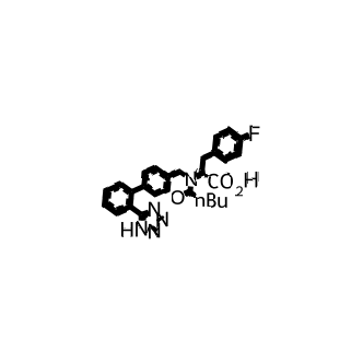 CCCCC(=O)N(Cc1ccc(-c2ccccc2-c2nnn[nH]2)cc1)[C@@H](Cc1ccc(F)cc1)C(=O)O